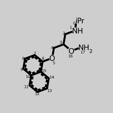 CC(C)NCC(COc1cccc2ccccc12)ON